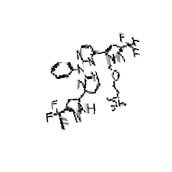 C[Si](C)(C)CCOCn1nc(C(F)(F)F)cc1-c1ccnc(N(c2ccccc2)c2nccc(-c3cc(C(F)(F)F)n[nH]3)n2)n1